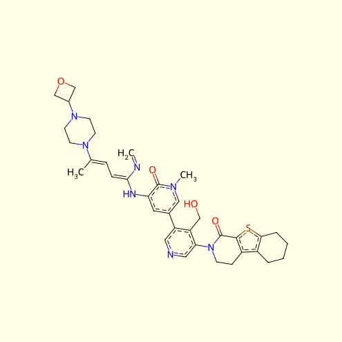 C=N/C(=C\C=C(/C)N1CCN(C2COC2)CC1)Nc1cc(-c2cncc(N3CCc4c(sc5c4CCCC5)C3=O)c2CO)cn(C)c1=O